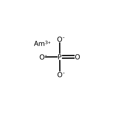 O=P([O-])([O-])[O-].[Am+3]